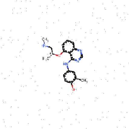 CNC[C@@H](C)Oc1cccc2ncnc(Nc3ccc(O)c(C)c3)c12